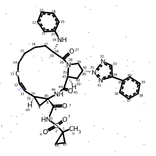 CC1(S(=O)(=O)NC(=O)[C@@]23C[C@H]2/C=C\CCCCC[C@H](Nc2ccccc2)C(=O)N2C[C@H](n4ncc(-c5ccccc5)n4)C[C@H]2C(=O)N3)CC1